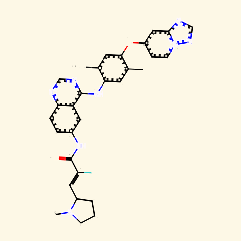 COc1cc(Oc2ccn3ncnc3c2)c(C)cc1Nc1ncnc2ccc(NC(=O)C(F)=CC3CCCN3C)cc12